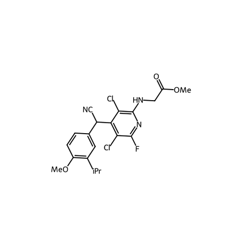 COC(=O)CNc1nc(F)c(Cl)c(C(C#N)c2ccc(OC)c(C(C)C)c2)c1Cl